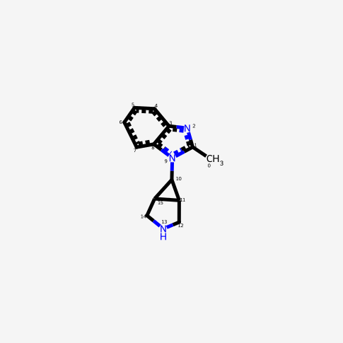 Cc1nc2ccccc2n1C1C2CNCC21